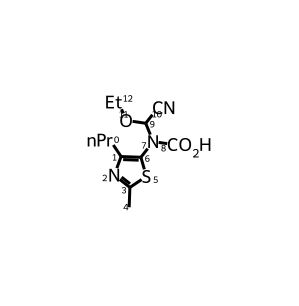 CCCc1nc(C)sc1N(C(=O)O)C(C#N)OCC